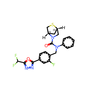 O=C(N(Cc1ccc(-c2nnc(C(F)F)o2)cc1F)c1ccccc1)N1C[C@@H]2C[C@H]1CS2